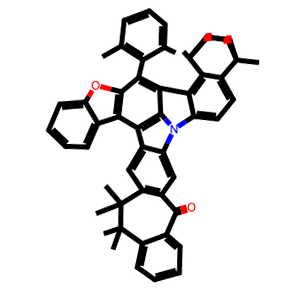 Cc1cccc(C)c1-c1c2oc3ccccc3c2c2c3cc4c(cc3n3c5ccc6c(c5c1c23)C1(C)CCC6(C)CC1)C(=O)c1ccccc1C(C)(C)C4(C)C